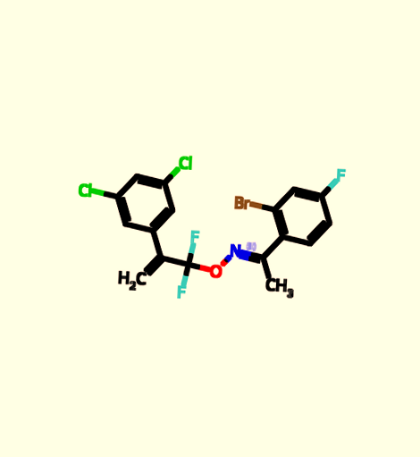 C=C(c1cc(Cl)cc(Cl)c1)C(F)(F)O/N=C(\C)c1ccc(F)cc1Br